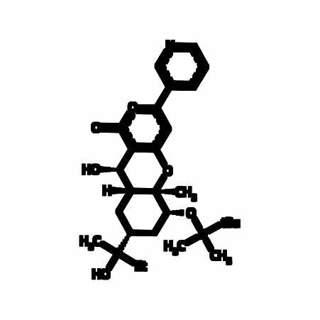 CCC(C)(O)[C@@H]1C[C@@H]2[C@H](O)c3c(cc(-c4cccnc4)oc3=O)O[C@@]2(C)[C@H](O[Si](C)(C)C(C)(C)C)C1